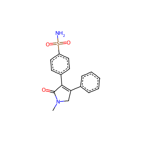 CN1CC(c2ccccc2)=C(c2ccc(S(N)(=O)=O)cc2)C1=O